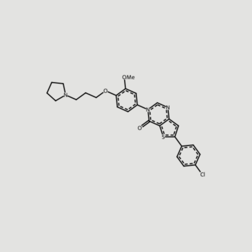 COc1cc(-n2cnc3cc(-c4ccc(Cl)cc4)sc3c2=O)ccc1OCCCN1CCCC1